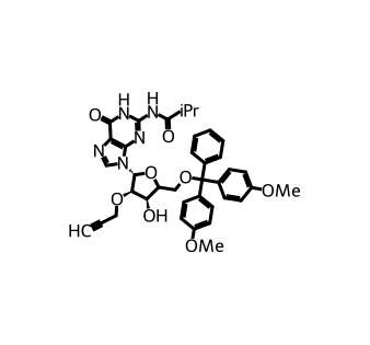 C#CCO[C@@H]1[C@H](O)C(COC(c2ccccc2)(c2ccc(OC)cc2)c2ccc(OC)cc2)O[C@H]1n1cnc2c(=O)[nH]c(NC(=O)C(C)C)nc21